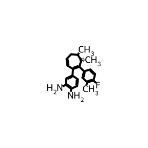 Cc1cc(C2=C(c3ccc(N)c(N)c3)C=CCC(C)[C@@H]2C)ccc1F